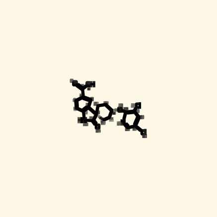 O=C(O)c1ccc2c(c1)[C@]1(CC[C@@H](Oc3ncc(Cl)cc3Cl)CC1)C(=O)N2